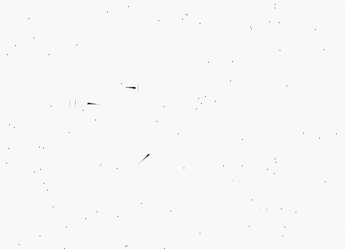 CCCC[C@@H](F)[C@H](O)/C=C/[C@H]1CCC(=O)[C@@H]1/C=C\CCCC(C)C(=O)O